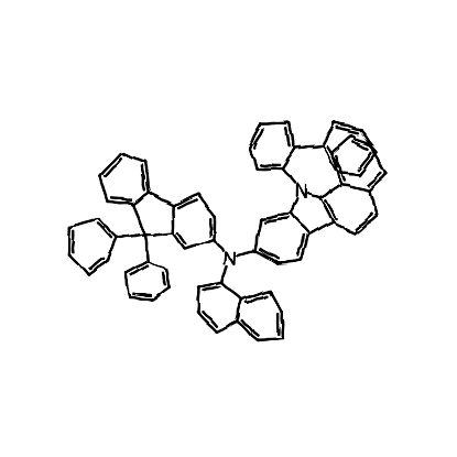 c1ccc(-c2ccccc2-n2c3cc(N(c4ccc5c(c4)C(c4ccccc4)(c4ccccc4)c4ccccc4-5)c4cccc5ccccc45)ccc3c3ccc4ccccc4c32)cc1